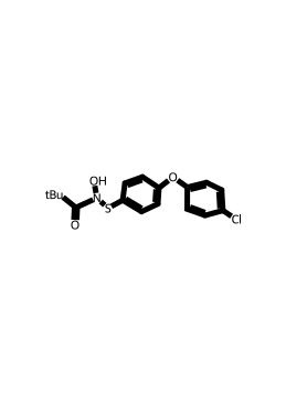 CC(C)(C)C(=O)N(O)Sc1ccc(Oc2ccc(Cl)cc2)cc1